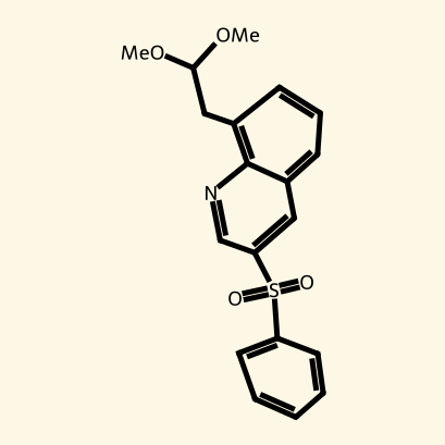 COC(Cc1cccc2cc(S(=O)(=O)c3ccccc3)cnc12)OC